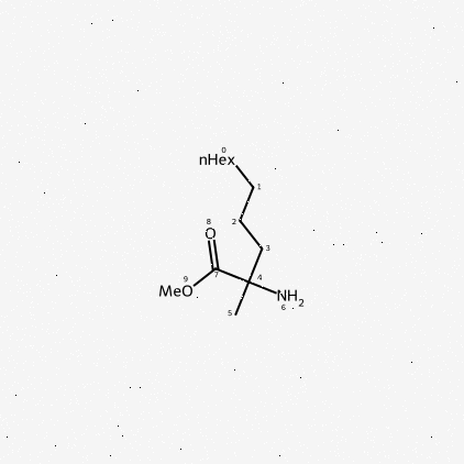 CCCCCCCCCC(C)(N)C(=O)OC